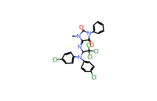 CN1C(=O)N(c2ccccc2)C(=O)C1=NC(N(c1ccc(Cl)cc1)c1ccc(Cl)cc1)C(Cl)(Cl)Cl